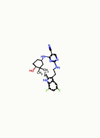 Cc1[nH]c2c(F)cc(F)cc2c1CCNc1ncc(C#N)c(N[C@@H]2CC[C@H](O)C(C)(C)C2)n1